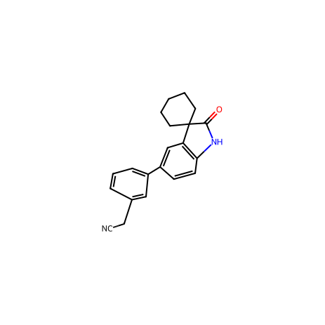 N#CCc1cccc(-c2ccc3c(c2)C2(CCCCC2)C(=O)N3)c1